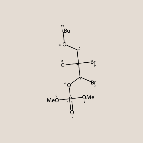 COP(=O)(OC)OC(Br)C(Cl)(Br)COC(C)(C)C